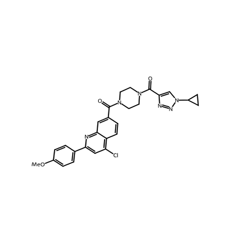 COc1ccc(-c2cc(Cl)c3ccc(C(=O)N4CCN(C(=O)c5cn(C6CC6)nn5)CC4)cc3n2)cc1